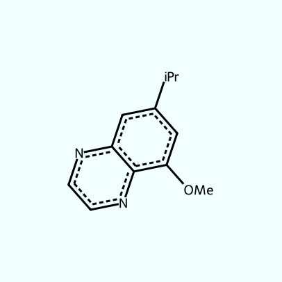 COc1cc(C(C)C)cc2nccnc12